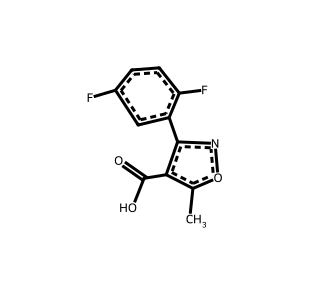 Cc1onc(-c2cc(F)ccc2F)c1C(=O)O